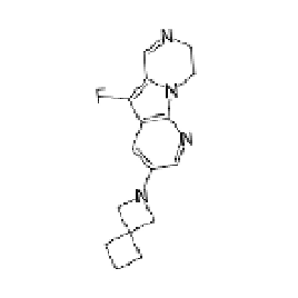 Fc1c2n(c3ncc(N4CC5(CCC5)C4)cc13)CCN=C2